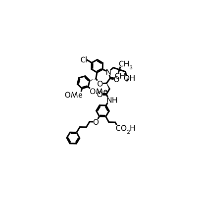 COc1cccc([C@H]2O[C@H](CC(=O)Nc3ccc(OCCCc4ccccc4)c(CCC(=O)O)c3)C(=O)N(CC(C)(C)CO)c3ccc(Cl)cc32)c1OC